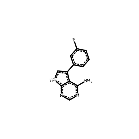 Nc1ncnc2[nH]cc(-c3cccc(F)c3)c12